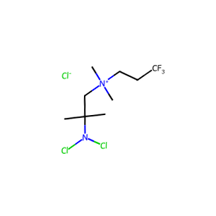 CC(C)(C[N+](C)(C)CCC(F)(F)F)N(Cl)Cl.[Cl-]